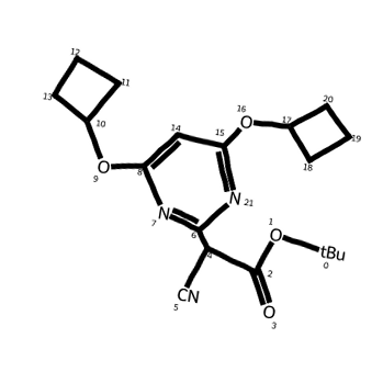 CC(C)(C)OC(=O)C(C#N)c1nc(OC2CCC2)cc(OC2CCC2)n1